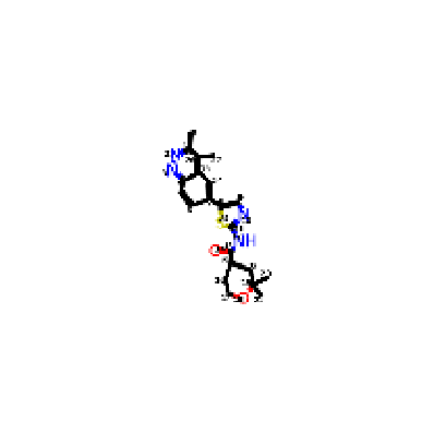 Cc1nnc2ccc(-c3cnc(NC(=O)C4CCOC(C)(C)C4)s3)cc2c1C